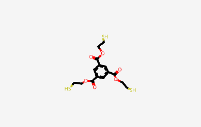 O=C(OCCS)c1cc(C(=O)OCCS)cc(C(=O)OCCS)c1